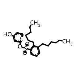 CCCCCCc1cccc(S(=O)(=O)Oc2cccc(O)c2)c1CCCCCC